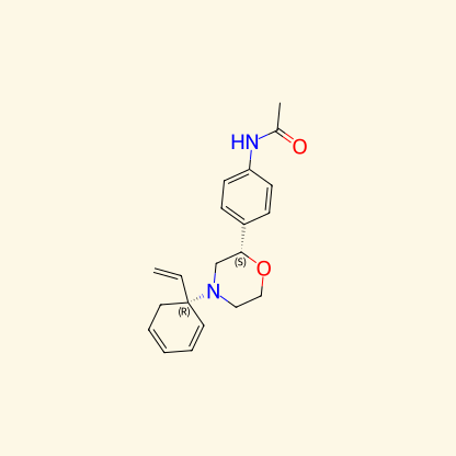 C=C[C@@]1(N2CCO[C@@H](c3ccc(NC(C)=O)cc3)C2)C=CC=CC1